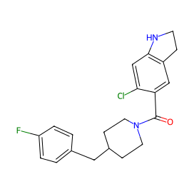 O=C(c1cc2c(cc1Cl)NCC2)N1CCC(Cc2ccc(F)cc2)CC1